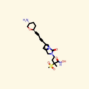 CC(CCN1Cc2cc(C#CC#C[C@@H]3CC[C@@H](N)CO3)cn2C1=O)(C(=O)NO)S(C)(=O)=O